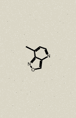 Cc1ccnc2conc12